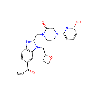 COC(=O)c1ccc2nc(CN3CCN(c4cccc(O)n4)CC3=O)n(C[C@@H]3CCO3)c2c1